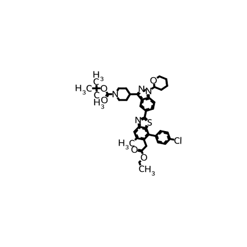 CCOC(=O)Cc1c(C)cc2nc(-c3ccc4c(c3)c(C3CCN(C(=O)OC(C)(C)C)CC3)nn4C3CCCCO3)sc2c1-c1ccc(Cl)cc1